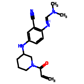 C=CC(=O)N1CCCC(Nc2ccc(/N=C/N(C)C)c(C#N)c2)C1